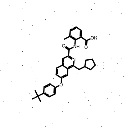 Cc1cccc(C(=O)O)c1NC(=O)c1cc2ccc(Oc3ccc(C(C)(C)C)cc3)cc2c(CC2CCCC2)n1